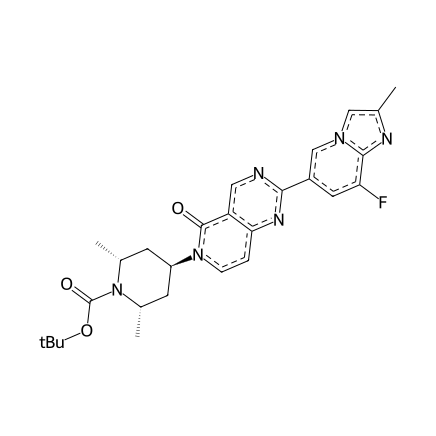 Cc1cn2cc(-c3ncc4c(=O)n([C@@H]5C[C@@H](C)N(C(=O)OC(C)(C)C)[C@@H](C)C5)ccc4n3)cc(F)c2n1